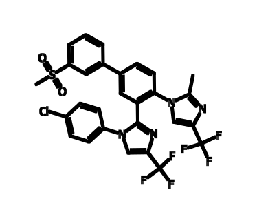 Cc1nc(C(F)(F)F)cn1-c1ccc(-c2cccc(S(C)(=O)=O)c2)cc1-c1nc(C(F)(F)F)cn1-c1ccc(Cl)cc1